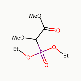 CCOP(=O)(OCC)C(OC)C(=O)OC